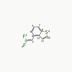 FC(F)=Cc1cccc2s[c]cc12